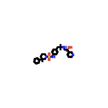 CC(C)(Cc1ccc(NS(=O)(=O)N2CCCC(C)(c3ccccc3)C2)cc1)NC[C@H](O)c1cccnc1